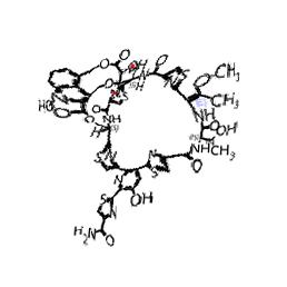 CO/C(C)=C1/NC(=O)[C@H]([C@@H](C)O)NC(=O)c2csc(n2)-c2cc(O)c(-c3nc(C(N)=O)cs3)nc2-c2csc(n2)[C@@H]2COC(=O)c3c4c5c(cccc5n3O)COC(=O)[C@@H](O)[C@@H](OC4)[C@H](NC(=O)c3csc1n3)c1nc(cs1)C(=O)N2